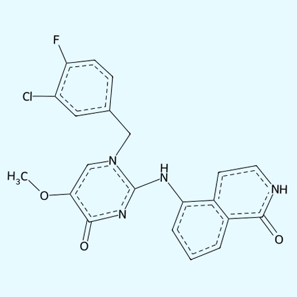 COc1cn(Cc2ccc(F)c(Cl)c2)c(Nc2cccc3c(=O)[nH]ccc23)nc1=O